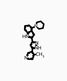 Cc1ccncc1-c1cc(-c2cc3c(N4CCCCC4)cccc3[nH]2)n[nH]1